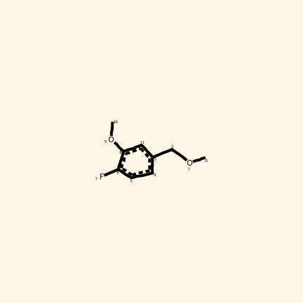 COCc1ccc(F)c(OC)c1